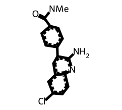 CNC(=O)c1ccc(-c2cc3cc(Cl)ccc3nc2N)cc1